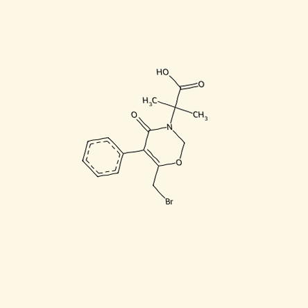 CC(C)(C(=O)O)N1COC(CBr)=C(c2ccccc2)C1=O